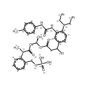 CCC(CC(=O)O[C@H](C)OC(=O)N(C)c1ncccc1COP(=O)(O)O)c1ccc(N(CC(C)C)CC(C)C)c(NC(=O)Nc2ccc(C)cc2)c1